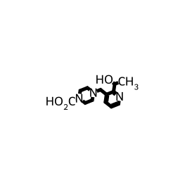 CC(O)c1ncccc1CN1CCN(C(=O)O)CC1